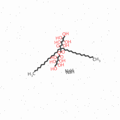 CCCCCCCCCCCCCCCCC(CCCCCCCCCCCCCCCC)(C(=O)OC(=O)[C@H](O)[C@@H](O)[C@H](O)[C@H](O)CO)C(=O)[C@H](O)[C@@H](O)[C@H](O)[C@H](O)CO.[NaH].[NaH]